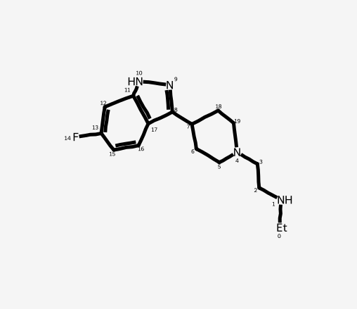 CCNCCN1CCC(c2n[nH]c3cc(F)ccc23)CC1